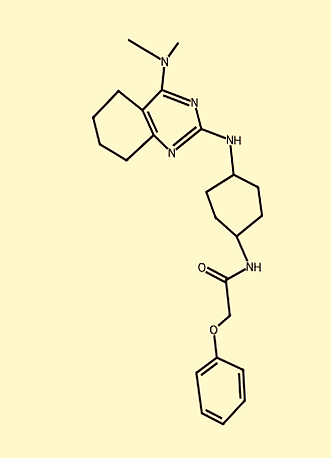 CN(C)c1nc(NC2CCC(NC(=O)COc3ccccc3)CC2)nc2c1CCCC2